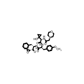 COc1ccc(C[C@H](NC(=O)[C@@H](NC(=O)CN2CCOCC2)C2(O)CC2)C(=O)N[C@@H](Cc2ccccc2)C(=O)[C@H]2CO2)cc1